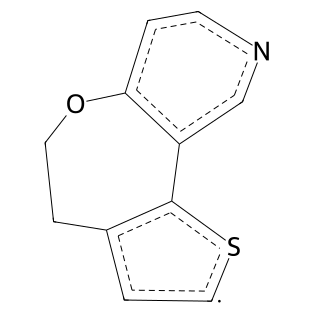 [c]1cc2c(s1)-c1cnccc1OCC2